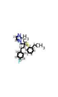 CCc1ccccc1SC(C)(CCc1ccc(F)cc1)Cn1ccnc1